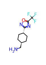 NC[C@H]1CC[C@H](c2noc(C(F)(F)F)n2)CC1